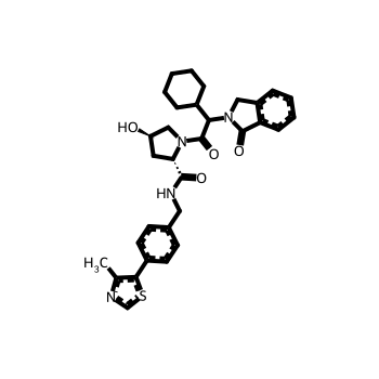 Cc1ncsc1-c1ccc(CNC(=O)[C@@H]2C[C@@H](O)CN2C(=O)C(C2CCCCC2)N2Cc3ccccc3C2=O)cc1